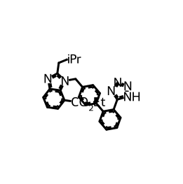 CCOC(=O)c1cccc2nc(CC(C)C)n(Cc3ccc(-c4ccccc4-c4nnn[nH]4)cc3)c12